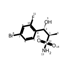 C[C@H]([C@@H](O)c1ccc(Br)cc1F)S(N)(=O)=O